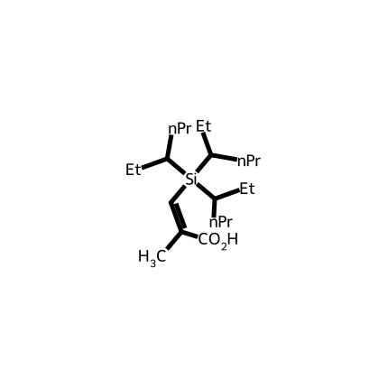 CCCC(CC)[Si](C=C(C)C(=O)O)(C(CC)CCC)C(CC)CCC